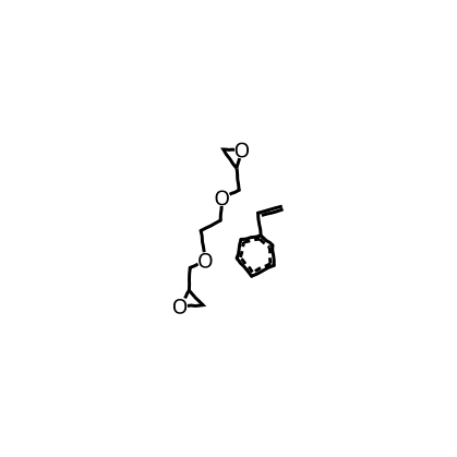 C(COCC1CO1)OCC1CO1.C=Cc1ccccc1